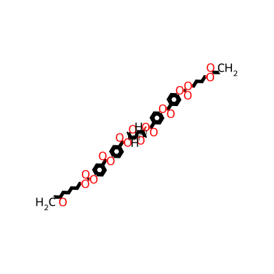 C=CC(=O)CCCCCOC(=O)Oc1ccc(C(=O)Oc2ccc(C(=O)O[C@@H]3CO[C@H]4[C@@H]3OC[C@@H]4OC(=O)c3ccc(OC(=O)c4ccc(OC(=O)OCCCCOC(=O)C=C)cc4)cc3)cc2)cc1